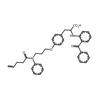 C=CCCC(=O)N(CCCOc1ccc(CC(Nc2ccccc2C(=O)c2ccccc2)C(=O)O)cc1)c1ccccc1